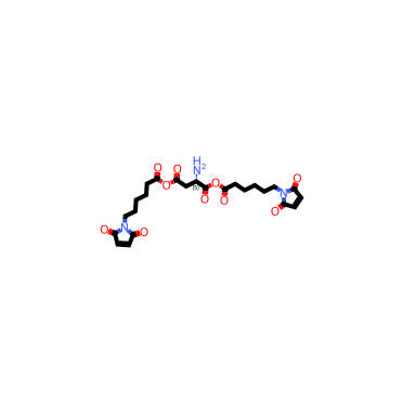 N[C@@H](CC(=O)OC(=O)CCCCCN1C(=O)C=CC1=O)C(=O)OC(=O)CCCCCN1C(=O)C=CC1=O